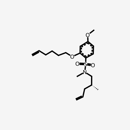 C=CCCCCOc1cc(OC)ccc1S(=O)(=O)N(C)C[C@H](C)CC=C